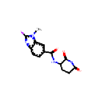 Cn1c(I)nc2ccc(C(=O)NC3CCC(=O)NC3=O)cc21